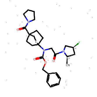 N#C[C@@H]1C[C@H](F)CN1C(=O)CN(C(=O)OCc1ccccc1)C12CCC(C(=O)N3CCCC3)(CC1)CC2